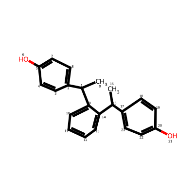 CC(c1ccc(O)cc1)c1ccccc1C(C)c1ccc(O)cc1